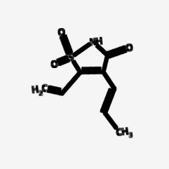 C=CC1=C(/C=C/C)C(=O)NS1(=O)=O